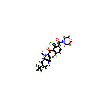 Cn1c(C(=O)c2c(Cl)ccc(C(=O)N3CCOCC3)c2Cl)cc2ncc(C(F)(F)F)cc21